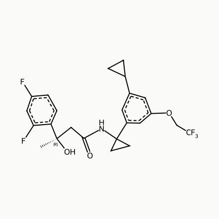 C[C@@](O)(CC(=O)NC1(c2cc(OCC(F)(F)F)cc(C3CC3)c2)CC1)c1ccc(F)cc1F